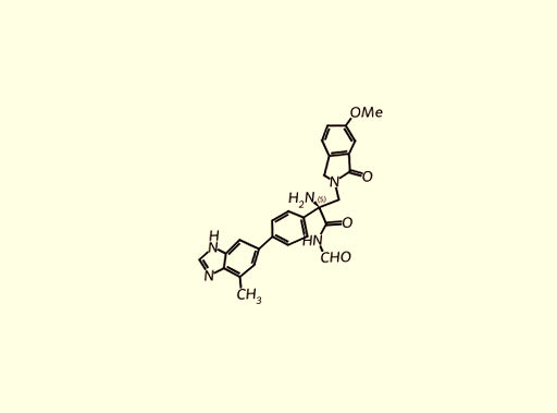 COc1ccc2c(c1)C(=O)N(C[C@](N)(C(=O)NC=O)c1ccc(-c3cc(C)c4nc[nH]c4c3)cc1)C2